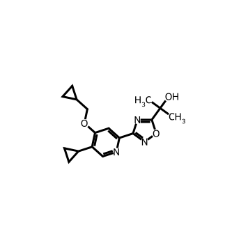 CC(C)(O)c1nc(-c2cc(OCC3CC3)c(C3CC3)cn2)no1